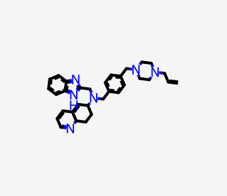 C=CCN1CCN(Cc2ccc(CN(Cc3nc4ccccc4[nH]3)C3C=C4C=CC=NC4CC3)cc2)CC1